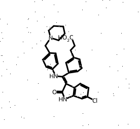 O=C(O)CCc1cccc(/C(Nc2ccc(CN3CCCCC3)cc2)=C2/C(=O)Nc3cc(Cl)ccc32)c1